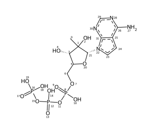 CC1(O)[C@@H](O)C(COP(=O)(O)OP(=O)(O)OP(=O)(O)O)O[C@H]1n1ccc2c(N)ncnc21